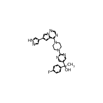 C[C@](O)(c1ccc(F)cc1)c1cnc(N2CCN(c3ncnn4cc(-c5cn[nH]c5)cc34)CC2)nc1